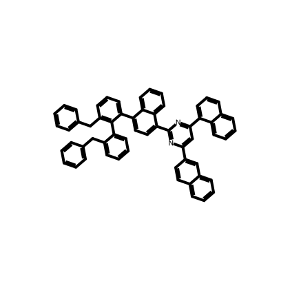 c1ccc(Cc2ccccc2-c2c(Cc3ccccc3)cccc2-c2ccc(-c3nc(-c4ccc5ccccc5c4)cc(-c4cccc5ccccc45)n3)c3ccccc23)cc1